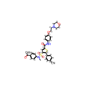 COC(=O)c1ccc(N(C)S(=O)(=O)c2cc(C(=O)Nc3ccc(OCCN4CCOCC4)cc3)sc2-c2ccc(C#N)cc2)cc1